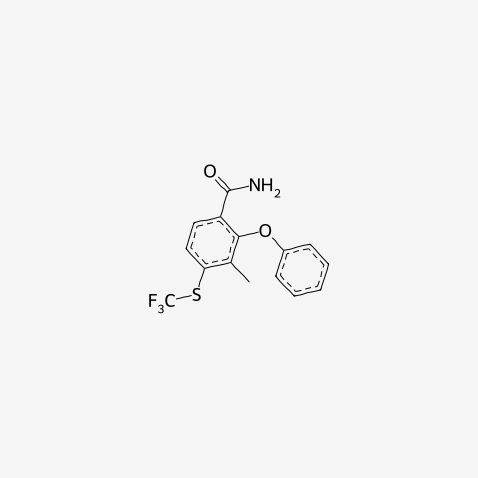 Cc1c(SC(F)(F)F)ccc(C(N)=O)c1Oc1ccccc1